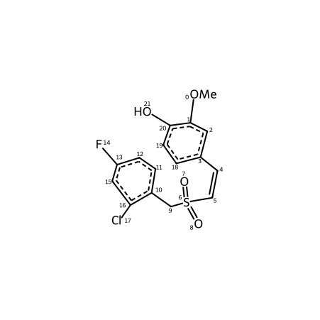 COc1cc(/C=C\S(=O)(=O)Cc2ccc(F)cc2Cl)ccc1O